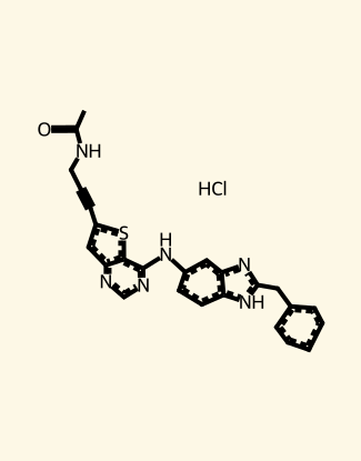 CC(=O)NCC#Cc1cc2ncnc(Nc3ccc4[nH]c(Cc5ccccc5)nc4c3)c2s1.Cl